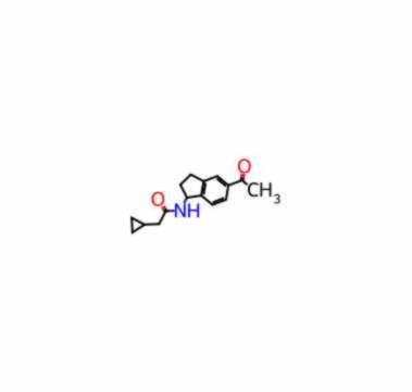 CC(=O)c1ccc2c(c1)CCC2NC(=O)CC1CC1